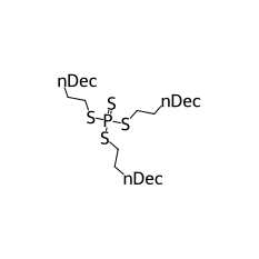 CCCCCCCCCCCCSP(=S)(SCCCCCCCCCCCC)SCCCCCCCCCCCC